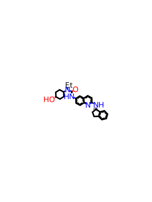 CCN(C(=O)Nc1ccc2nc(N[C@@H]3CCc4ccccc43)ccc2c1)C1CCC(O)CC1